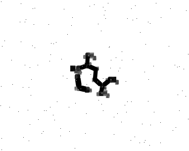 CN(C)CCN(C)C.O=S=O